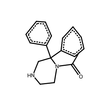 CC(=O)N1CCNCC1(c1ccccc1)c1ccccc1